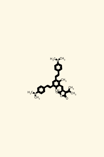 CC(C)=C1C(=O)OC(=O)C1=Cc1c(C)c(C=Cc2ccc(N(C)C)cc2)cc(C=Cc2ccc(N(C)C)cc2)c1C